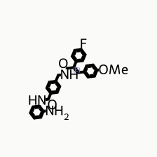 COc1ccc(/C=C(/C(=O)NCc2ccc(C(=O)Nc3ccccc3N)cc2)c2ccc(F)cc2)cc1